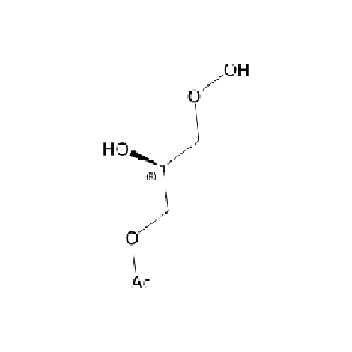 CC(=O)OC[C@@H](O)COO